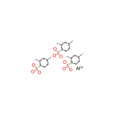 Cc1ccc(S(=O)(=O)[O-])c(C)c1.Cc1ccc(S(=O)(=O)[O-])c(C)c1.Cc1ccc(S(=O)(=O)[O-])c(C)c1.[Al+3]